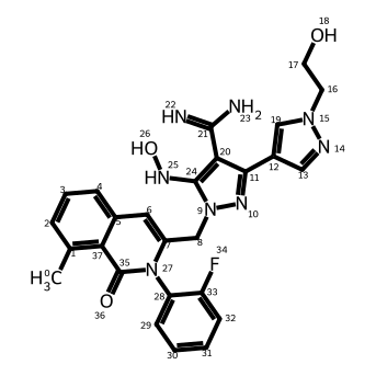 Cc1cccc2cc(Cn3nc(-c4cnn(CCO)c4)c(C(=N)N)c3NO)n(-c3ccccc3F)c(=O)c12